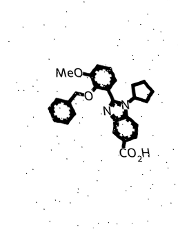 COc1cccc(-c2nc3cc(C(=O)O)ccc3n2C2CCCC2)c1OCc1ccccc1